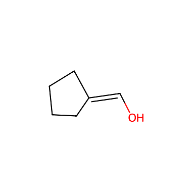 OC=C1CCCC1